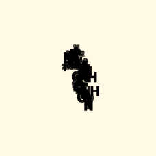 Cc1cnc(NC(=O)[C@H]2CCC[C@@H](NC(=O)CC#N)C2)cc1-c1cc(F)c2ncn(C(C)C)c2c1